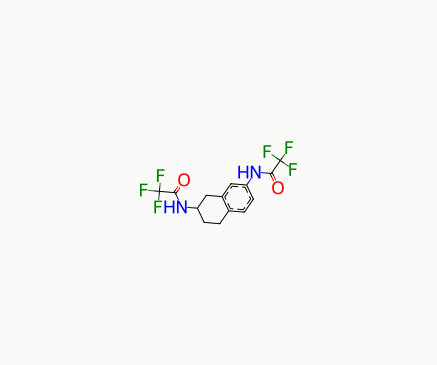 O=C(Nc1ccc2c(c1)CC(NC(=O)C(F)(F)F)CC2)C(F)(F)F